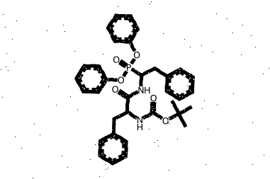 CC(C)(C)OC(=O)NC(Cc1ccccc1)C(=O)NC(Cc1ccccc1)P(=O)(Oc1ccccc1)Oc1ccccc1